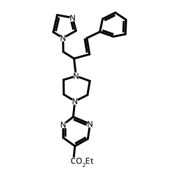 CCOC(=O)c1cnc(N2CCN(C(/C=C/c3ccccc3)Cn3ccnc3)CC2)nc1